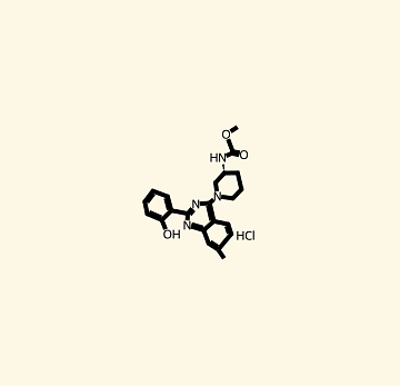 COC(=O)N[C@@H]1CCCN(c2nc(-c3ccccc3O)nc3cc(C)ccc23)C1.Cl